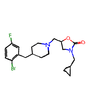 O=C1OC(CN2CCC(Cc3cc(F)ccc3Br)CC2)CN1CC1CC1